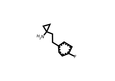 NC1(CCc2ccc(F)cc2)CC1